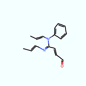 C/C=C/N=C(/C=C/C=O)N(/C=C/C)c1ccccc1